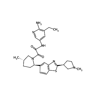 CCc1cc(NC(=O)C(=O)N2C[C@@H](C)CC[C@@H]2c2ccc3sc([C@H]4CCN(C)C4)nc3c2)cnc1N